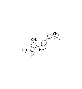 Cc1cc(-c2nccc3cc(C4CCC(C)(C)C4)ccc23)c2oc(C(C)C)c(C)c2c1